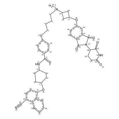 CN(CCCCOc1ccc(C(=O)NC2CCC(Oc3ccc(C#N)c4ncccc34)CC2)cc1)C1CC(Oc2ccc3c(c2)C(=O)N(C2CCC(=O)NC2=O)C3=O)C1